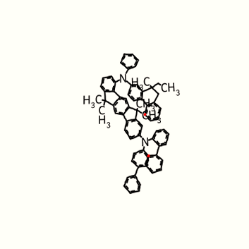 CCC1(C)Cc2ccccc2-c2ccc(N(c3ccccc3)c3cccc4c3-c3cc5c(cc3C4(C)C)-c3ccc(N(c4ccc(-c6ccccc6)cc4)c4ccccc4-c4ccccc4)cc3C5(C)C)cc21